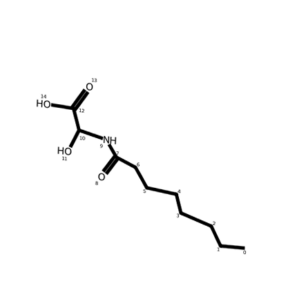 CCCCCCCC(=O)NC(O)C(=O)O